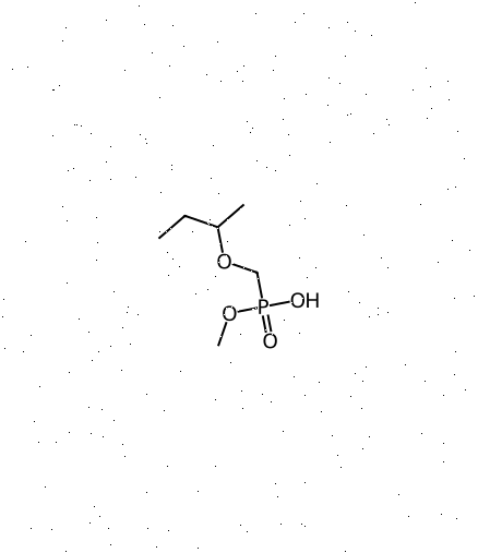 CCC(C)OCP(=O)(O)OC